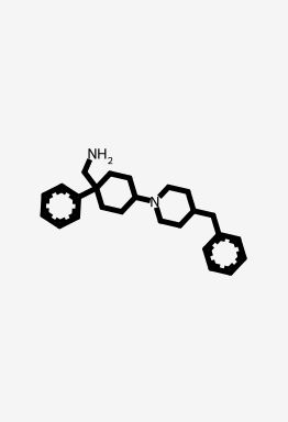 NCC1(c2ccccc2)CCC(N2CCC(Cc3ccccc3)CC2)CC1